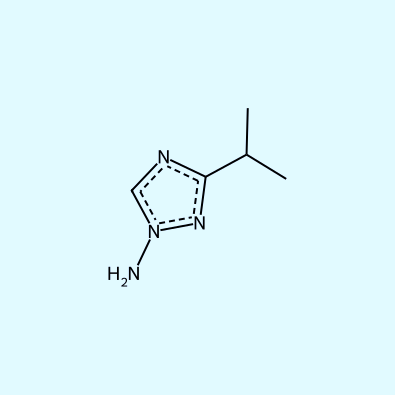 CC(C)c1ncn(N)n1